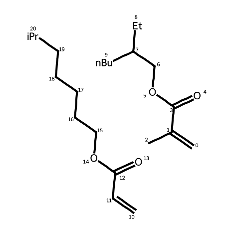 C=C(C)C(=O)OCC(CC)CCCC.C=CC(=O)OCCCCCC(C)C